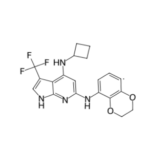 FC(F)(F)c1c[nH]c2nc(Nc3cc[c]c4c3OCCO4)cc(NC3CCC3)c12